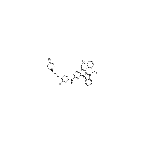 Cc1cccc(C)c1-n1c(=O)c2cnc(Nc3ccc(OCCN4CCN(C(C)C)CC4)c(F)c3)nc2n2c3ccccc3nc12